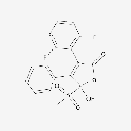 CS(=O)(=O)C1(O)OC(=O)C(c2c(F)cccc2F)=C1c1ccccc1